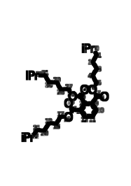 CC(C)CCCCCOC(=O)c1cccc(C(=O)OCCCCCC(C)C)c1C(=O)OCCCCCC(C)C